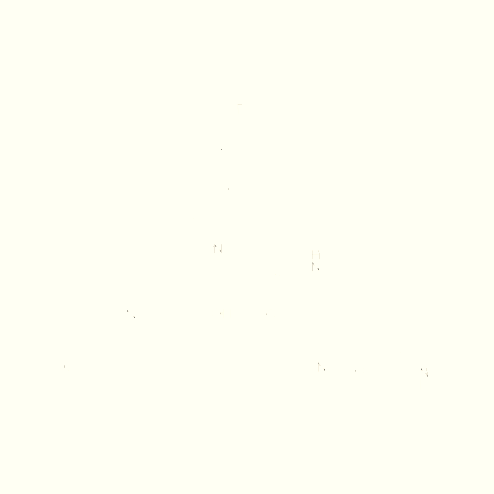 N#CC(CC1CCNC1=O)NC(=O)C1CC2(CN1C(O)c1cc3cccc(Cl)c3[nH]1)CC(F)(F)C2